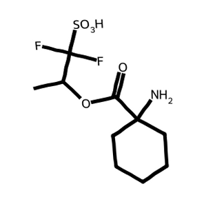 CC(OC(=O)C1(N)CCCCC1)C(F)(F)S(=O)(=O)O